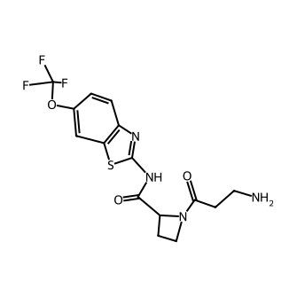 NCCC(=O)N1CCC1C(=O)Nc1nc2ccc(OC(F)(F)F)cc2s1